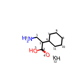 NCC(C(=O)O)C1CCCCC1.[KH]